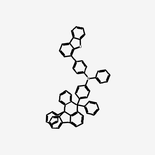 c1ccc(N(c2ccc(-c3cccc4c3oc3ccccc34)cc2)c2ccc(C3(c4ccccc4)c4ccccc4C4(c5ccccc5)c5ccccc5-c5cccc3c54)cc2)cc1